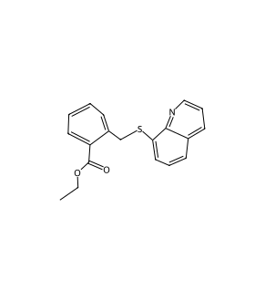 CCOC(=O)c1ccccc1CSc1cccc2cccnc12